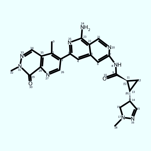 Cc1c(-c2cc3cc(NC(=O)[C@H]4C[C@@H]4C4C=NN(C)C4)ncc3c(N)n2)cnc2c(=O)n(C)ncc12